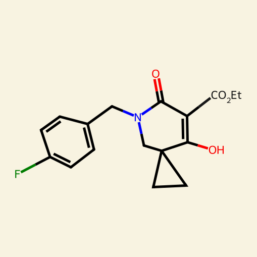 CCOC(=O)C1=C(O)C2(CC2)CN(Cc2ccc(F)cc2)C1=O